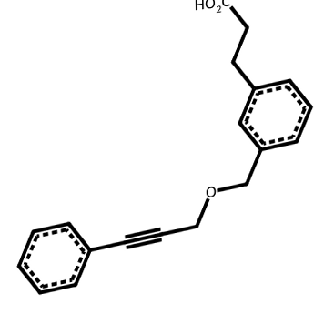 O=C(O)CCc1cccc(COCC#Cc2ccccc2)c1